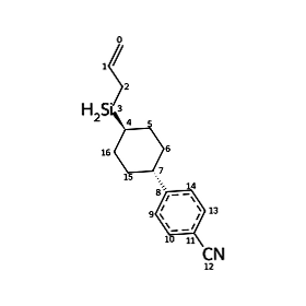 C=CC[SiH2][C@H]1CC[C@H](c2ccc(C#N)cc2)CC1